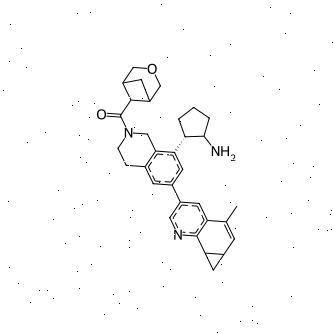 CC1=CC2CC2c2ncc(-c3cc4c(c([C@@H]5CCCC5N)c3)CN(C(=O)C3C5COCC3C5)CC4)cc21